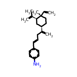 C=C[C@]1(C)CC[C@@H](C(=C)C/C=C/c2ccc(N)cc2)C[C@H]1C(=C)C